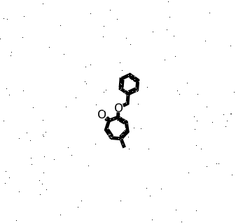 Cc1ccc(OCc2ccccc2)c(=O)cc1